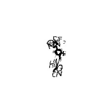 N#CCC(=O)NCc1ccc(-c2noc(C(F)(F)F)n2)cc1F